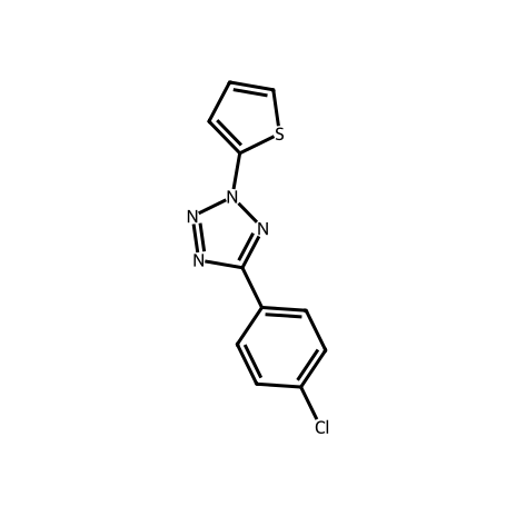 Clc1ccc(-c2nnn(-c3cccs3)n2)cc1